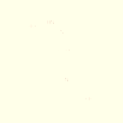 CC1CCN(CCCC(=O)c2ccc(O)c3[nH]cnc23)CC1